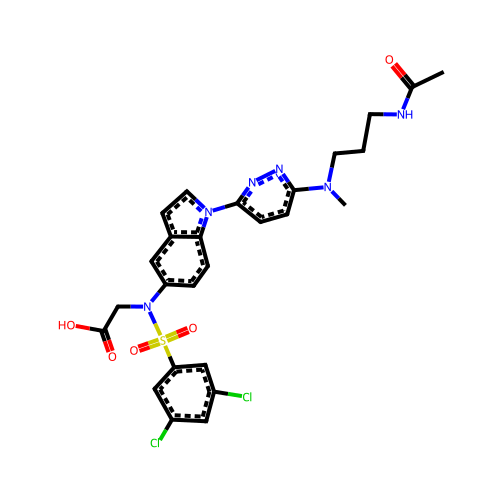 CC(=O)NCCCN(C)c1ccc(-n2ccc3cc(N(CC(=O)O)S(=O)(=O)c4cc(Cl)cc(Cl)c4)ccc32)nn1